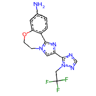 Nc1ccc2c(c1)OCCn1cc(-c3ncnn3CC(F)(F)F)nc1-2